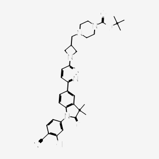 CC(C)(C)OC(=O)N1CCN(CC2CN(c3ccc(-c4ccc5c(c4)C(C)(C)C(=O)N5c4ccc(C#N)c(Cl)c4)nn3)C2)CC1